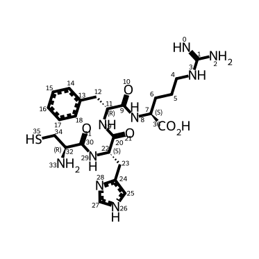 N=C(N)NCCC[C@H](NC(=O)[C@@H](Cc1ccccc1)NC(=O)[C@H](Cc1c[nH]cn1)NC(=O)[C@@H](N)CS)C(=O)O